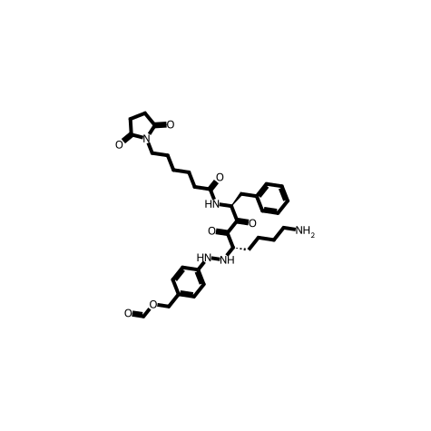 NCCCC[C@H](NNc1ccc(COC=O)cc1)C(=O)C(=O)[C@H](Cc1ccccc1)NC(=O)CCCCCN1C(=O)CCC1=O